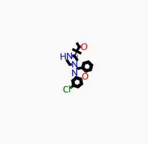 CC(=O)C(C)(C)[C@H]1CN(C2=Nc3cc(Cl)ccc3Oc3ccccc32)CCN1